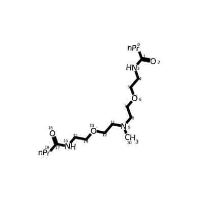 CCCC(=O)NCCOCCN(C)CCOCCNC(=O)CCC